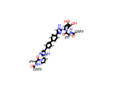 COC(=O)N[C@H](C(=O)N1CCC[C@H]1c1ncc(-c2ccc(-c3ccc(-c4c[nH]c([C@@H]5C6CC([C@@H](O)[C@H]6O)N5C(=O)[C@@H](NC(=O)OC)C(C)C)n4)cc3)cc2)[nH]1)C(C)C